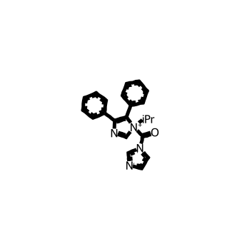 CC(C)[N+]1(C(=O)n2ccnc2)C=NC(c2ccccc2)=C1c1ccccc1